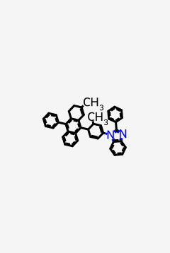 CC1=Cc2c(c(-c3ccccc3)c3ccccc3c2C2C=CC(n3c(-c4ccccc4)nc4ccccc43)=CC2C)CC1